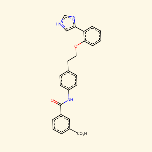 O=C(O)c1cccc(C(=O)Nc2ccc(CCOc3ccccc3-c3c[nH]cn3)cc2)c1